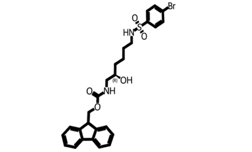 O=C(NC[C@H](O)CCCCNS(=O)(=O)c1ccc(Br)cc1)OCC1c2ccccc2-c2ccccc21